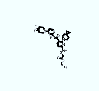 CCOC(=O)CSNc1ccc(C(=O)Nc2nccc(N3CCC(F)(F)CC3)n2)c(N2CCC3(CC2)CC3)n1